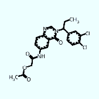 CCC(c1ccc(Cl)c(Cl)c1)n1cnc2ccc(NC(=O)COC(C)=O)cc2c1=O